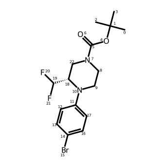 CC(C)(C)OC(=O)N1CCN(c2ccc(Br)cc2)[C@H](C(F)F)C1